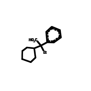 CCC(C(=O)O)(c1ccccc1)C1CCCCC1